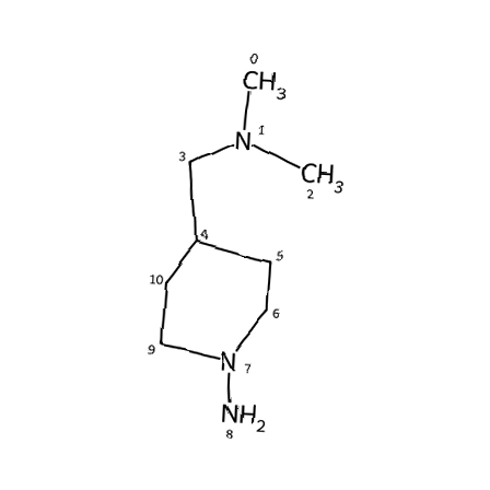 CN(C)CC1CCN(N)CC1